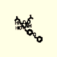 CC(C)CNC[C@H](O)[C@H](Cc1ccc(OCc2ccccc2)cc1)NC(=O)OCC(C)C